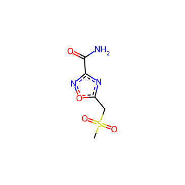 CS(=O)(=O)Cc1nc(C(N)=O)no1